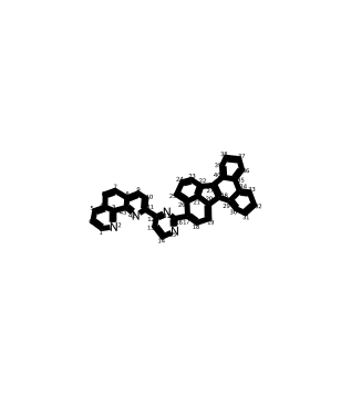 c1cnc2c(c1)ccc1ccc(-c3ccnc(-c4ccc5c6c(cccc46)-c4c-5c5ccccc5c5ccccc45)n3)nc12